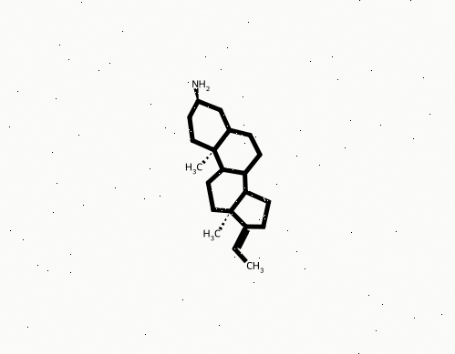 C/C=C1\CCC2C3CCC4C[C@H](N)CC[C@]4(C)C3CC[C@]12C